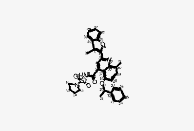 Cc1c(-c2cc(C(=O)NS(=O)(=O)N3CCCC3)c3c(OC(C)c4ccccc4)ccc(C)c3n2)oc2ccccc12